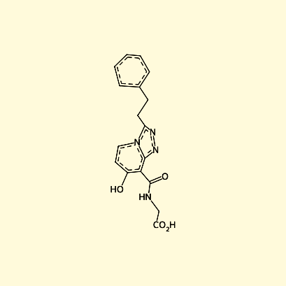 O=C(O)CNC(=O)c1c(O)ccn2c(CCc3ccccc3)nnc12